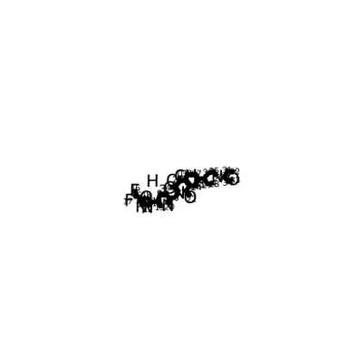 CC1(C)C(=O)N(Cc2ccc(-c3nnc(C(F)F)o3)cn2)C(=O)c2cc(C3CCN(C4CCOC4)CC3)ccc21